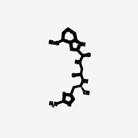 COc1cccc2[nH]c(C(=O)NCC(=O)N[C@H](C#N)Cc3cnc(N)s3)cc12